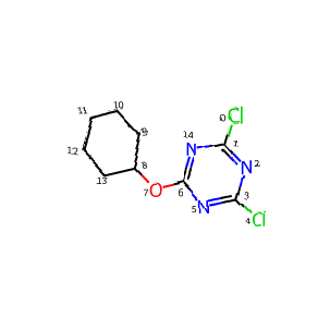 Clc1nc(Cl)nc(OC2CCCCC2)n1